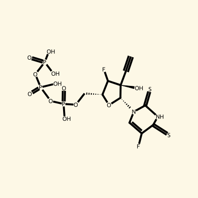 C#C[C@@]1(O)C(F)[C@@H](COP(=O)(O)OP(=O)(O)OP(=O)(O)O)O[C@H]1n1cc(F)c(=S)[nH]c1=S